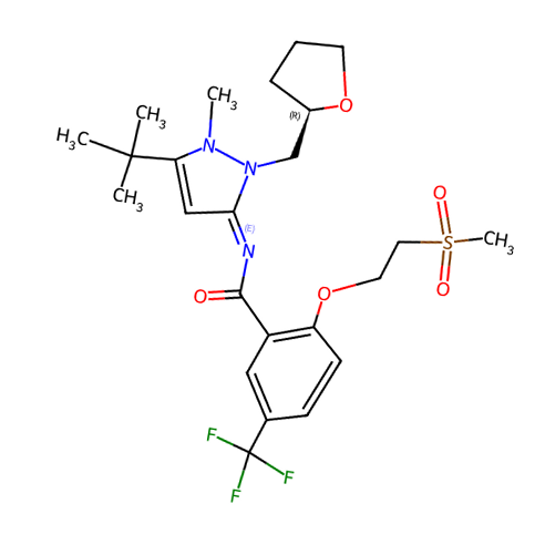 Cn1c(C(C)(C)C)c/c(=N\C(=O)c2cc(C(F)(F)F)ccc2OCCS(C)(=O)=O)n1C[C@H]1CCCO1